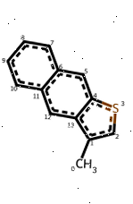 Cc1csc2cc3ccccc3cc12